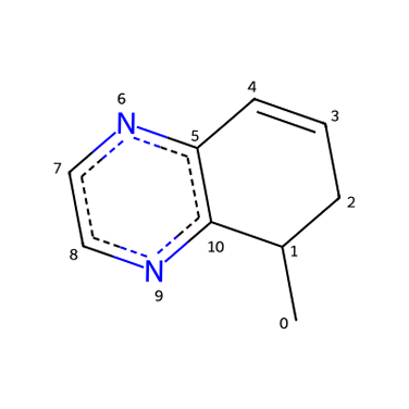 CC1CC=Cc2nccnc21